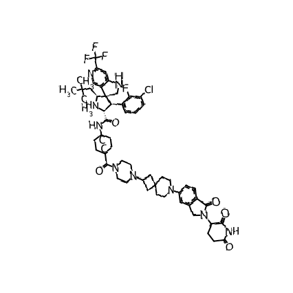 CC(C)(C)C[C@@H]1N[C@@H](C(=O)NC23CCC(C(=O)N4CCN(C5CC6(CCN(c7ccc8c(c7)CN(C7CCC(=O)NC7=O)C8=O)CC6)C5)CC4)(CC2)CC3)[C@H](c2cccc(Cl)c2F)[C@]12CNc1cc(C(F)(F)F)ncc12